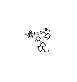 NC(=O)c1cccnc1.Nc1ncnc2c1ncn2[C@@H]1O[C@H](COP(=O)(O)O)[C@@H](O)[C@H]1O